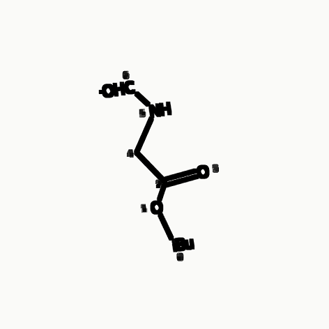 CCC(C)OC(=O)CN[C]=O